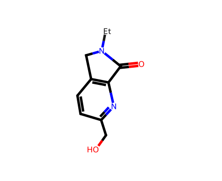 CCN1Cc2ccc(CO)nc2C1=O